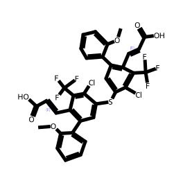 COc1ccccc1-c1cc(Sc2cc(-c3ccccc3OC)c(/C=C/C(=O)O)c(C(F)(F)F)c2Cl)c(Cl)c(C(F)(F)F)c1/C=C/C(=O)O